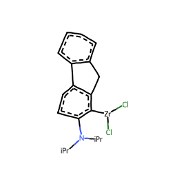 CC(C)N(c1ccc2c([c]1[Zr]([Cl])[Cl])Cc1ccccc1-2)C(C)C